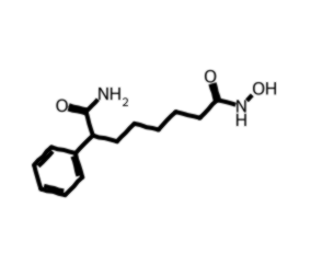 NC(=O)C(CCCCCC(=O)NO)c1ccccc1